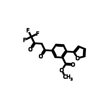 COC(=O)c1cc(C(=O)CC(=O)C(F)(F)F)ccc1-c1ccco1